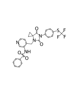 O=C1N(c2ccc(SC(F)(F)F)cc2)C(=O)C2(CC2)N1Cc1ccncc1NS(=O)(=O)c1ccccc1